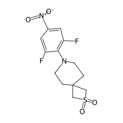 O=[N+]([O-])c1cc(F)c(N2CCC3(CC2)CS(=O)(=O)C3)c(F)c1